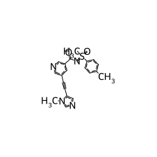 Cc1ccc(S(C)(=O)=NC(=O)c2cncc(C#Cc3cncn3C)c2)cc1